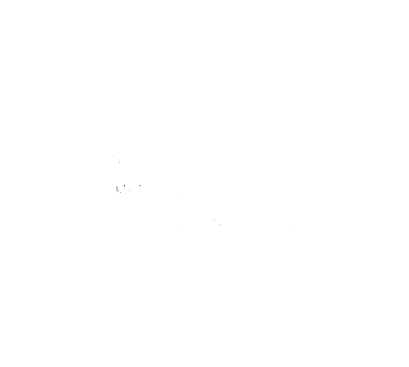 COC1(Cc2cccc[n+]2C)CN(C(=O)OC(C)(C)C)C1.[I-]